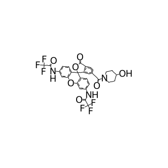 O=C1OC2(c3ccc(NC(=O)C(F)(F)F)cc3Oc3cc(NC(=O)C(F)(F)F)ccc32)c2cc(C(=O)N3CCC(O)CC3)ccc21